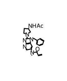 C=CC(=O)N(C)c1cnc2nc(N3CC[C@H](NC(C)=O)C3)n(Cc3ccccc3)c2c1